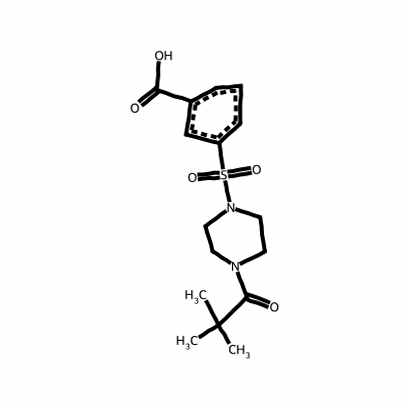 CC(C)(C)C(=O)N1CCN(S(=O)(=O)c2cccc(C(=O)O)c2)CC1